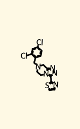 Clc1ccc(CN2CCn3c(nnc3-c3nccs3)C2)c(Cl)c1